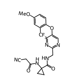 COc1ccc(Oc2cnc(CNC(=O)C3(NC(=O)CC#N)CC3)nc2)c(C(F)(F)F)c1